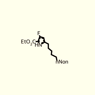 CCCCCCCCCCCCCCc1cc(F)c(C(=O)OCC)[nH]1